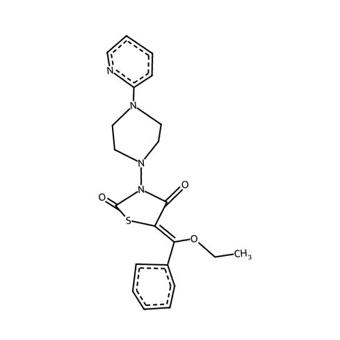 CCOC(=C1SC(=O)N(N2CCN(c3ccccn3)CC2)C1=O)c1ccccc1